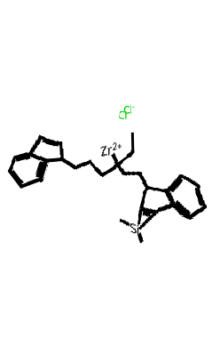 CC[C]([Zr+2])(CCCC1C=Cc2ccccc21)CCC1C2=C(c3ccccc31)[Si]2(C)C.[Cl-].[Cl-]